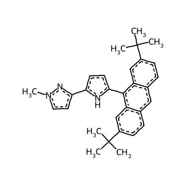 Cn1ccc(-c2ccc(-c3c4cc(C(C)(C)C)ccc4cc4ccc(C(C)(C)C)cc34)[nH]2)n1